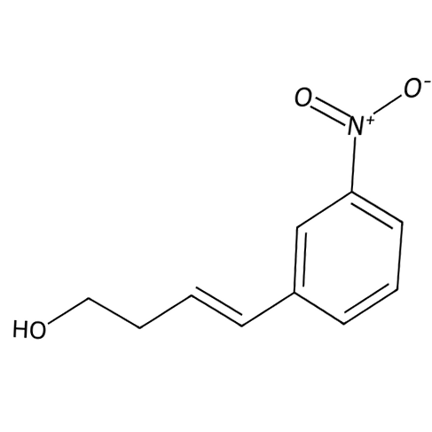 O=[N+]([O-])c1cccc(C=CCCO)c1